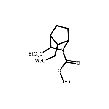 CCOC(=O)C1C2CCC(C2COC)N1C(=O)OC(C)(C)C